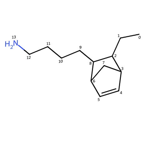 CCC1C2C=CC(C2)C1CCCCN